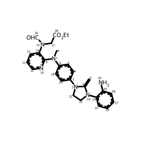 C=C1N(c2ccc(N(C)c3ncccc3N(C=O)CC(=O)OCC)cc2)CCN1c1ccccc1N